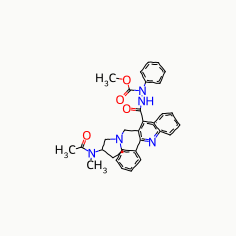 COC(=O)N(NC(=O)c1c(CN2CCC(N(C)C(C)=O)C2)c(-c2ccccc2)nc2ccccc12)c1ccccc1